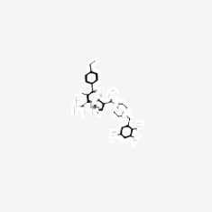 CCc1ccc(-c2nc3c(C(=O)N4CCN(Cc5cc(F)cc(F)c5F)CC4)cnn3c(C(F)(F)F)c2C)cc1